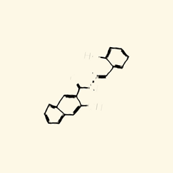 O=C(NN=Cc1ccccc1O)c1cc2ccccc2cc1O